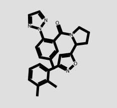 Cc1ccc(-n2nccn2)c(C(=O)N2CCCC2c2cc(-c3cccc(C)c3C)no2)c1